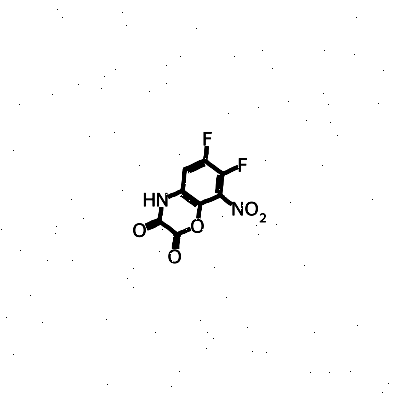 O=c1[nH]c2cc(F)c(F)c([N+](=O)[O-])c2oc1=O